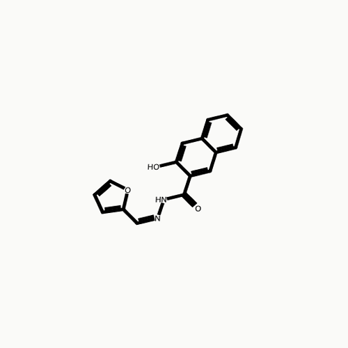 O=C(N/N=C\c1ccco1)c1cc2ccccc2cc1O